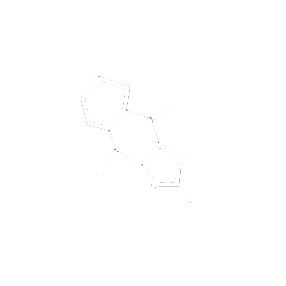 CC(C)c1nc2c(o1)C(=O)c1ccccc1C2=O